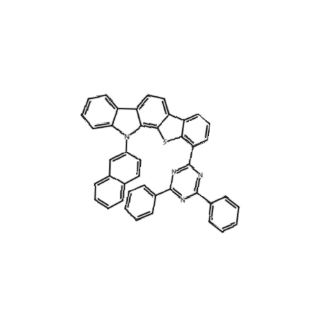 c1ccc(-c2nc(-c3ccccc3)nc(-c3cccc4c3sc3c4ccc4c5ccccc5n(-c5ccc6ccccc6c5)c43)n2)cc1